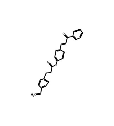 C=Cc1ccc(CCC(=O)Oc2ccc(C=CC(=O)c3ccccc3)cc2)cc1